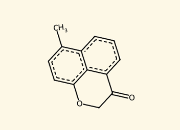 Cc1ccc2c3c(cccc13)C(=O)CO2